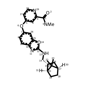 CNC(=O)c1cc(Oc2ccc3nc(NC[C@@H]4C[C@H]5CC[C@@H]4C5(C)C)oc3c2)ccn1